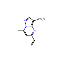 C=Cc1cc(C)n2ncc(C(=O)OCC)c2n1